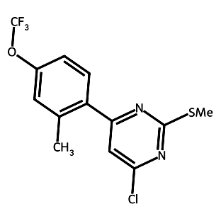 CSc1nc(Cl)cc(-c2ccc(OC(F)(F)F)cc2C)n1